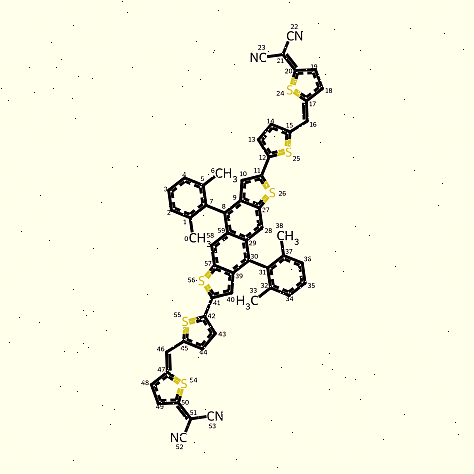 Cc1cccc(C)c1-c1c2cc(-c3ccc(/C=c4/ccc(=C(C#N)C#N)s4)s3)sc2cc2c(-c3c(C)cccc3C)c3cc(-c4ccc(/C=c5/ccc(=C(C#N)C#N)s5)s4)sc3cc12